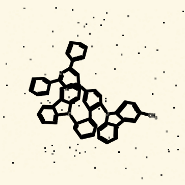 Cc1ccc2c(c1)c1ccccc1n2-c1ccc(-c2cc(-c3ccccc3)nc(-c3ccccc3)n2)cc1-c1ccccc1-n1c2ccccc2c2ccccc21